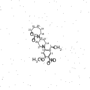 C=Cc1cc([N+](=O)[O-])c(OC)cc1N1CCC(N2CCCCCOC2=O)CC1